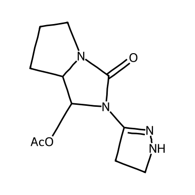 CC(=O)OC1C2CCCN2C(=O)N1C1=NNCC1